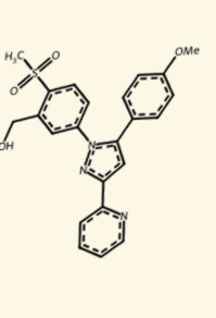 COc1ccc(-c2cc(-c3ccccn3)nn2-c2ccc(S(C)(=O)=O)c(CO)c2)cc1